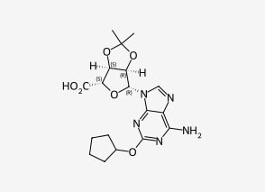 CC1(C)O[C@@H]2[C@H](O1)[C@@H](C(=O)O)O[C@H]2n1cnc2c(N)nc(OC3CCCC3)nc21